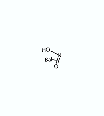 O=NO.[BaH2]